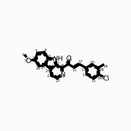 COc1ccc2[nH]c3c(C(=O)/C=C/c4ccc(Cl)c(C)c4)nccc3c2c1